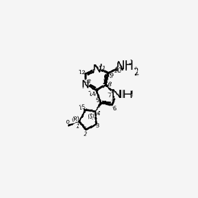 C[C@@H]1CC[C@H](c2c[nH]c3c(N)ncnc23)C1